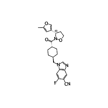 Cc1cc([C@@H]2CCON2C(=O)[C@H]2CC[C@H](Cn3cnc4cc(C#N)c(F)cc43)CC2)co1